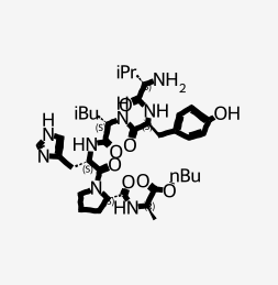 CCCCOC(=O)[C@@H](C)NC(=O)[C@@H]1CCCN1C(=O)[C@H](Cc1c[nH]cn1)NC(=O)[C@@H](NC(=O)[C@H](Cc1ccc(O)cc1)NC(=O)[C@@H](N)C(C)C)C(C)CC